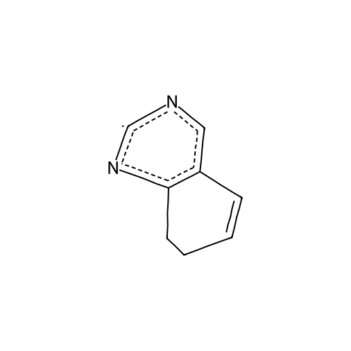 [c]1ncc2c(n1)CCC=C2